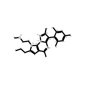 CCCc1cc2c(C)nc3c(-c4c(C)cc(C)cc4C)c(C)nn3c2n1CCOC